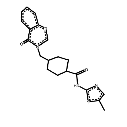 Cc1cnc(NC(=O)C2CCC(Cn3cnc4ccccc4c3=O)CC2)s1